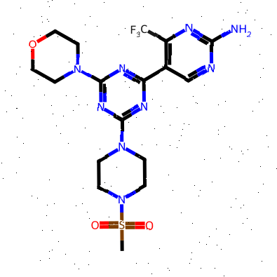 CS(=O)(=O)N1CCN(c2nc(-c3cnc(N)nc3C(F)(F)F)nc(N3CCOCC3)n2)CC1